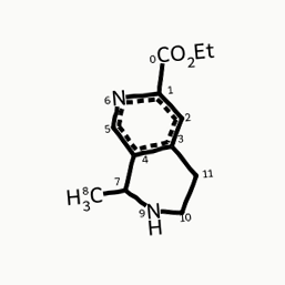 CCOC(=O)c1cc2c(cn1)C(C)NCC2